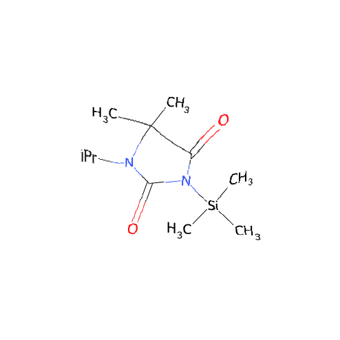 CC(C)N1C(=O)N([Si](C)(C)C)C(=O)C1(C)C